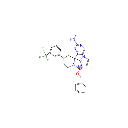 CNc1nccc(C2(c3ncc[nH]3)CC(c3cccc(C(F)(F)F)c3)CCN2C(=O)OCc2ccccc2)n1